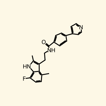 Cc1[nH]c2c(F)ccc(C)c2c1CCNC(=O)c1ccc(-c2ccncc2)cc1